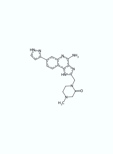 CN1CCN(Cc2nc3c(N)nc4cc(-c5cc[nH]n5)ccc4c3[nH]2)C(=O)C1